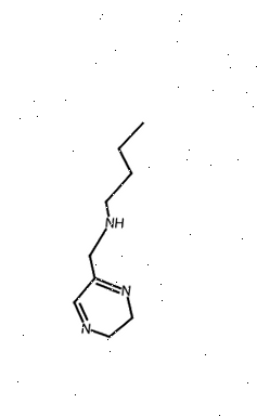 CCCCNCC1=NCCN=C1